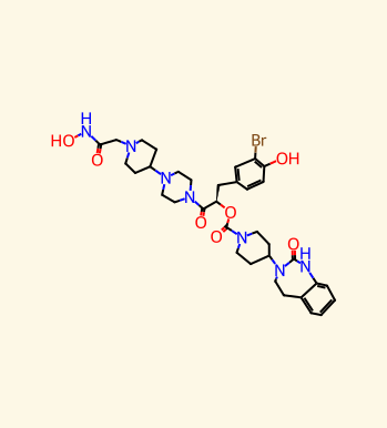 O=C(CN1CCC(N2CCN(C(=O)[C@@H](Cc3ccc(O)c(Br)c3)OC(=O)N3CCC(N4CCc5ccccc5NC4=O)CC3)CC2)CC1)NO